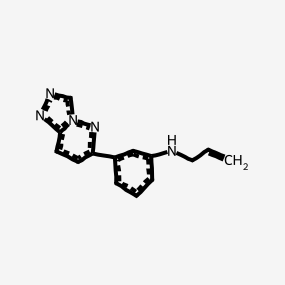 C=CCNc1cccc(-c2ccc3nncn3n2)c1